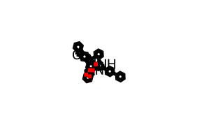 c1ccc(C2=NC(c3ccccc3-n3c4ccc(-c5ccccc5)cc4c4cc5oc6ccccc6c5cc43)NC(c3ccc(-c4ccccc4)cc3)=N2)cc1